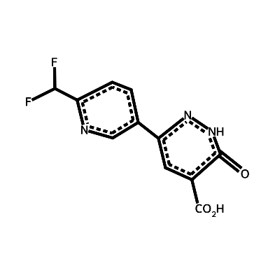 O=C(O)c1cc(-c2ccc(C(F)F)nc2)n[nH]c1=O